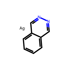 [Ag].c1ccc2cnncc2c1